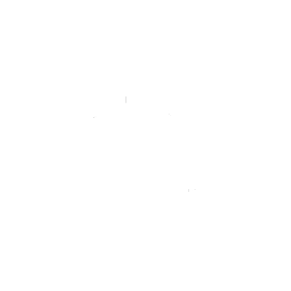 FC(F)(F)C(Br)CCBr